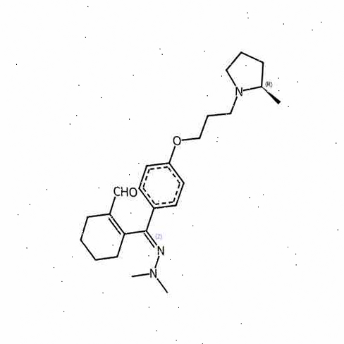 C[C@@H]1CCCN1CCCOc1ccc(/C(=N/N(C)C)C2=C(C=O)CCCC2)cc1